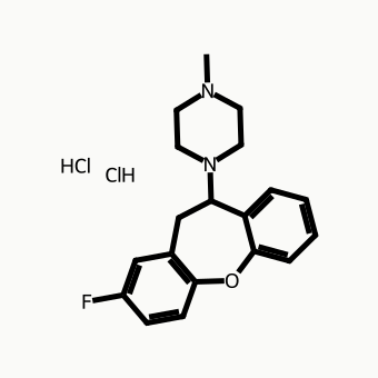 CN1CCN(C2Cc3cc(F)ccc3Oc3ccccc32)CC1.Cl.Cl